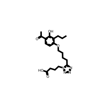 CCCc1c(OCCCCc2nnnn2CCCC(=O)O)ccc(C(C)=O)c1O